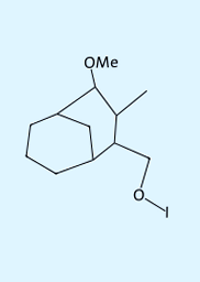 COC1C2CCCC(C2)C(COI)C1C